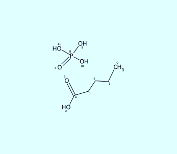 CCCCC(=O)O.O=P(O)(O)O